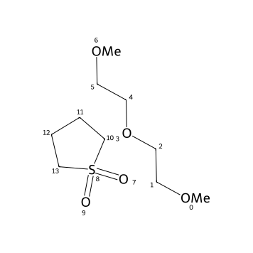 COCCOCCOC.O=S1(=O)CCCC1